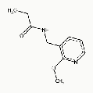 CCC(=O)NCc1cccnc1OC